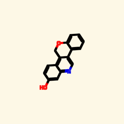 Oc1ccc2c3c(cnc2c1)-c1ccccc1OC3